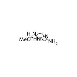 COCCC1(N)C=Cc2nc(N)cn2N1